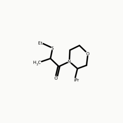 CCSC(C)C(=O)N1CCOCC1C(C)C